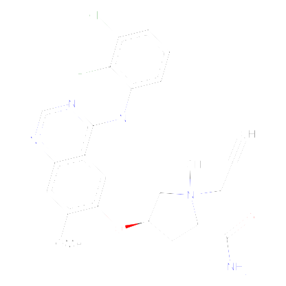 C#CC[N+]1(C)C[C@H](Oc2cc3c(Nc4cccc(Cl)c4F)ncnc3cc2OC)C[C@H]1C(N)=O